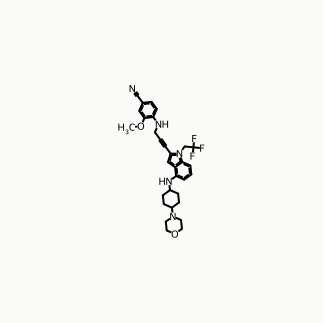 COc1cc(C#N)ccc1NCC#Cc1cc2c(NC3CCC(N4CCOCC4)CC3)cccc2n1CC(F)(F)F